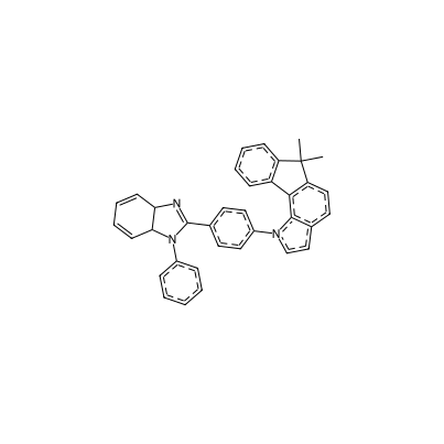 CC1(C)c2ccccc2-c2c1ccc1ccn(-c3ccc(C4=NC5C=CC=CC5N4c4ccccc4)cc3)c21